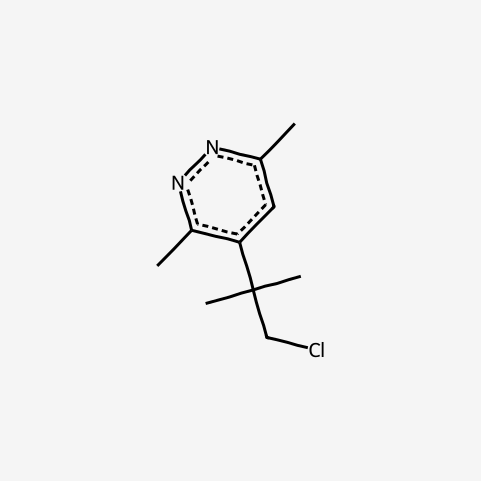 Cc1cc(C(C)(C)CCl)c(C)nn1